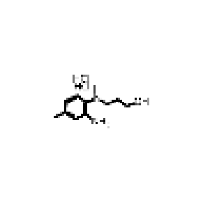 Cc1ccc(NCCCO)c(N)c1.Cl.Cl